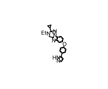 CCN(Cc1nc2cc(Oc3ccc(-c4ccn[nH]4)cc3)ccc2[nH]1)C(=O)C1CC1